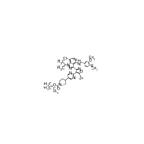 COc1ccc(CNc2ncc(Cl)c3c2c(-c2noc(C4CC4)c2-c2ncc(C4CCN(C(=O)OC(C)(C)C)CC4)cn2)nn3C(C)C)cc1OC